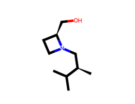 CC(C)[C@H](C)CN1CC[C@H]1CO